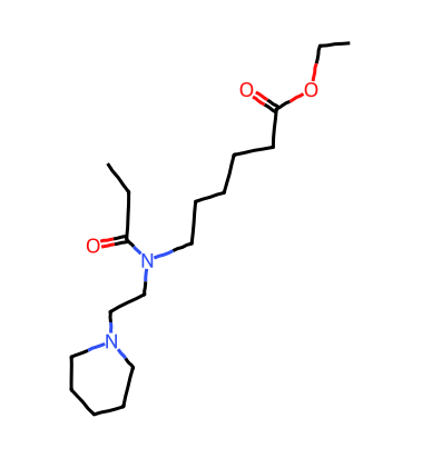 CCOC(=O)CCCCCN(CCN1CCCCC1)C(=O)CC